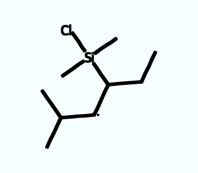 CCC([CH]C(C)C)[Si](C)(C)Cl